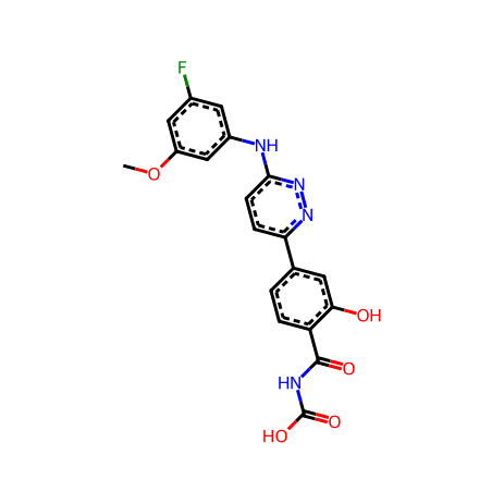 COc1cc(F)cc(Nc2ccc(-c3ccc(C(=O)NC(=O)O)c(O)c3)nn2)c1